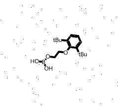 CC(C)(C)c1cccc(C(C)(C)C)c1OCCOB(O)O